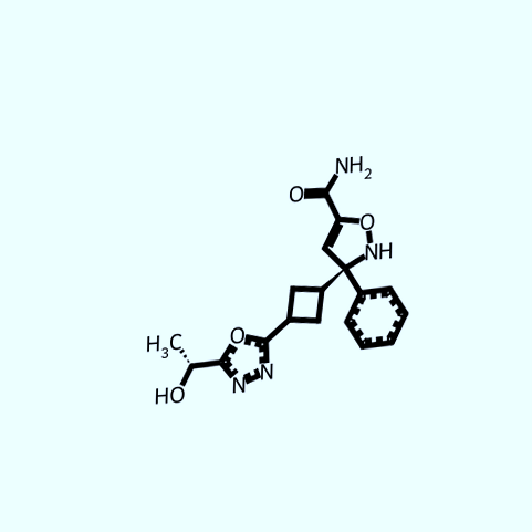 C[C@@H](O)c1nnc(C2CC([C@@]3(c4ccccc4)C=C(C(N)=O)ON3)C2)o1